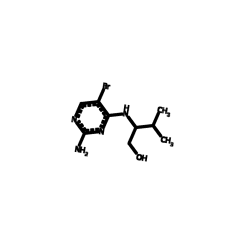 CC(C)C(CO)Nc1nc(N)ncc1Br